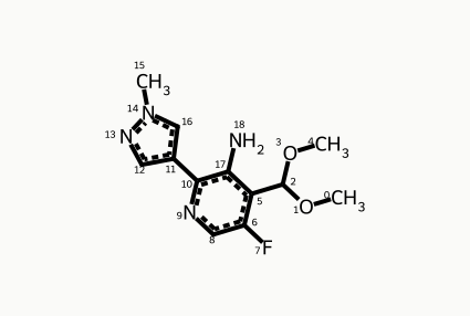 COC(OC)c1c(F)cnc(-c2cnn(C)c2)c1N